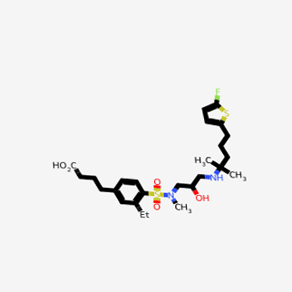 CCc1cc(CCCC(=O)O)ccc1S(=O)(=O)N(C)CC(O)CNC(C)(C)CCCc1ccc(F)s1